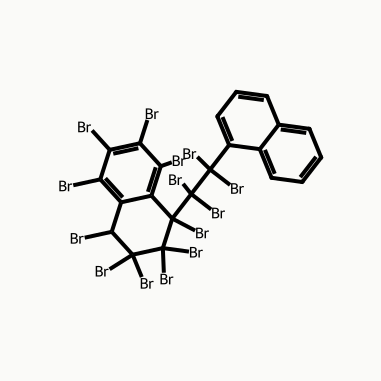 Brc1c(Br)c(Br)c2c(c1Br)C(Br)C(Br)(Br)C(Br)(Br)C2(Br)C(Br)(Br)C(Br)(Br)c1cccc2ccccc12